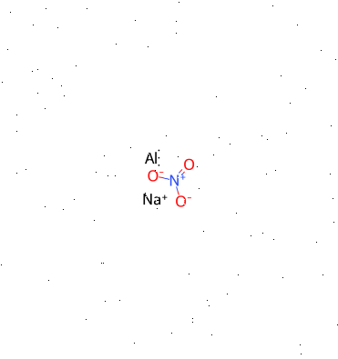 O=[N+]([O-])[O-].[Al].[Na+]